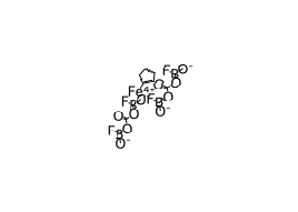 O=C(OB([O-])F)OB([O-])F.O=C(OB([O-])F)OB([O-])F.[Fe+4][C]1=CC=CC1